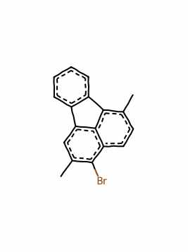 Cc1cc2c3c(c(C)ccc3c1Br)-c1ccccc1-2